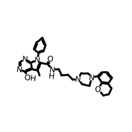 Cc1c(C(=O)NCCCCN2CCN(c3cccc4c3OCCC4)CC2)n(-c2ccccc2)c2ncnc(O)c12